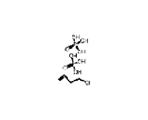 C=CCCCl.O=P(O)(O)O.O=P(O)(O)O